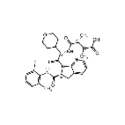 Cc1cccc(F)c1NC(=O)[C@@H]1Cc2cccnc2N1C(=O)[C@@H](NC(=O)[C@H](C)N(C)C(=O)O)C1CCOCC1